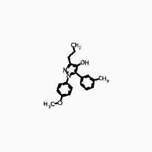 CCCc1nn(-c2ccc(OC)cc2)c(-c2cccc(C)c2)c1O